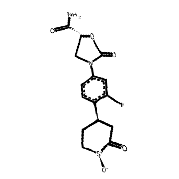 NC(=O)[C@H]1CN(c2ccc([C@@H]3CC[S@+]([O-])C(=O)C3)c(F)c2)C(=O)O1